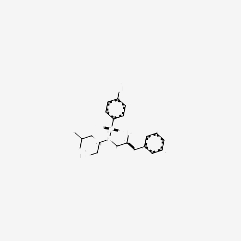 CC(C)C[C@H](CO)N(CC(Br)=Cc1ccccc1)S(=O)(=O)c1ccc(Cl)cc1